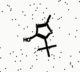 Cc1nc(O)c(C(C)(C)C)s1